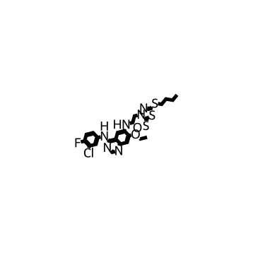 CCCCSc1nn(CC(=O)Nc2cc3c(Nc4ccc(F)c(Cl)c4)ncnc3cc2OCC)c(=S)s1